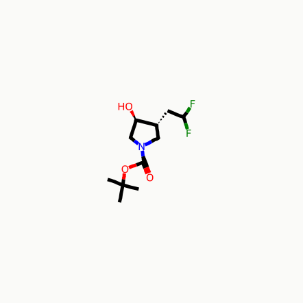 CC(C)(C)OC(=O)N1C[C@@H](CC(F)F)[C@H](O)C1